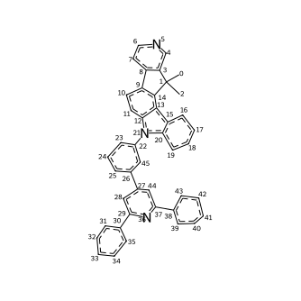 CC1(C)c2cnccc2-c2ccc3c(c21)c1ccccc1n3-c1cccc(-c2cc(-c3ccccc3)nc(-c3ccccc3)c2)c1